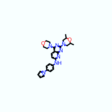 CC1CN(c2nc(N3CCOCC3)c3ccc(Nc4ccc(-n5cccc5)cc4)nc3n2)CC(C)O1